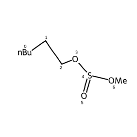 CCCCCCOS(=O)OC